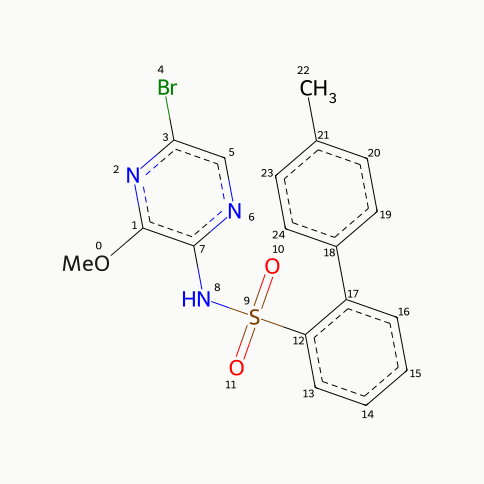 COc1nc(Br)cnc1NS(=O)(=O)c1ccccc1-c1ccc(C)cc1